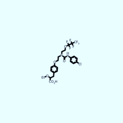 CCOC(Cc1ccc(OCCN(CCOC(F)(F)C(F)(F)C(F)(F)F)C(=O)Nc2ccc(Cl)cc2)cc1)C(=O)O